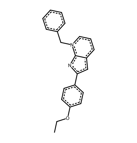 CCOc1ccc(-c2cc3cccn(Cc4ccccc4)c-3n2)cc1